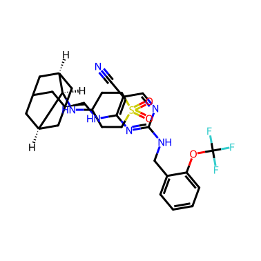 N#Cc1cnc(NCc2ccccc2OC(F)(F)F)nc1NC[C@]12CC3C[C@H](C1)[C@H](NC1CCS(=O)(=O)CC1)[C@@H](C3)C2